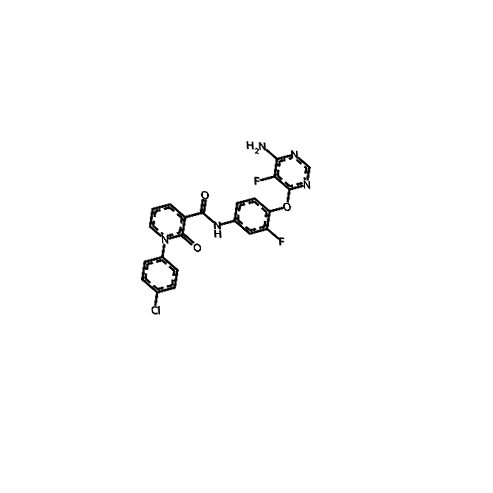 Nc1ncnc(Oc2ccc(NC(=O)c3cccn(-c4ccc(Cl)cc4)c3=O)cc2F)c1F